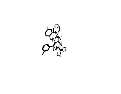 COC(=O)c1nc(-c2cccc(C)c2)c2c(n1)nc(N1CCOCC1)n2C[C@H]1CC[C@H](C)CC1